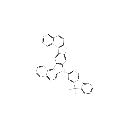 CC1(C)c2ccccc2-c2ccc(-n3c4cc5sc6ccc7ccccc7c6c5cc4c4c5ccccc5ccc43)cc21